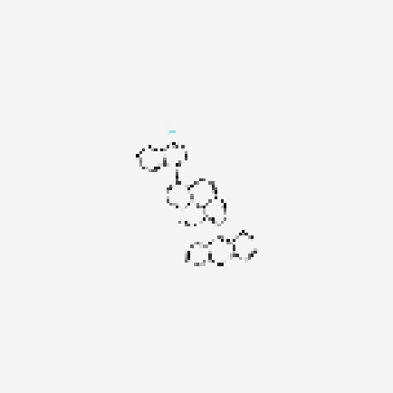 Fc1ccc(-c2ccc3ccc4c(-c5c6ccccc6cc6ccccc56)ccc5ccc2c3c54)c2ccccc12